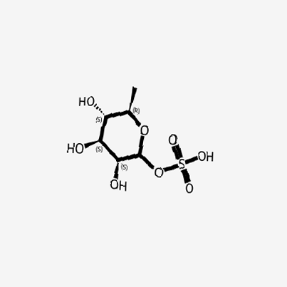 C[C@H]1OC(OS(=O)(=O)O)[C@@H](O)[C@@H](O)[C@@H]1O